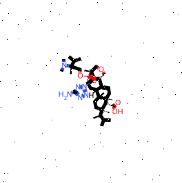 CC(C)[C@@H](C)[C@@]1(C)CC[C@]2(C)[C@H]3CC[C@@H]4[C@@]5(COC[C@@]4(C)[C@@H](OC[C@@](C)(C(C)C)N(C)C)[C@H](n4nnc(N)n4)C5)C3=CC[C@@]2(C)[C@@H]1C(=O)O